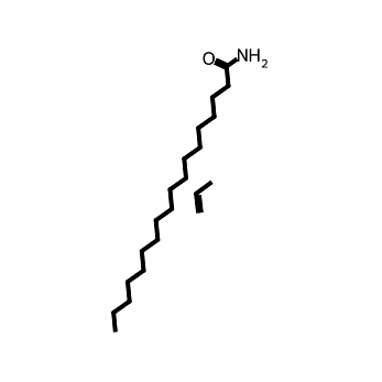 C=CC.CCCCCCCCCCCCCCCCCC(N)=O